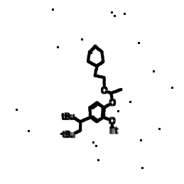 CCOc1cc(C(CC(C)(C)C)C(C)(C)C)ccc1OC(C)OCCC1CCCCC1